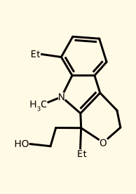 CCc1cccc2c3c(n(C)c12)C(CC)(CCO)OCC3